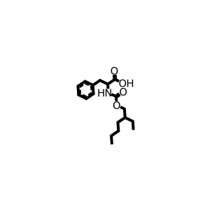 CCCCC(CC)COC(=O)NC(Cc1ccccc1)C(=O)O